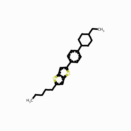 CCCCCc1cc2sc(-c3ccc(C4CCC(CC)CC4)cc3)cc2s1